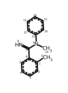 Cc1ccccc1C(=N)N(C)c1ccccc1